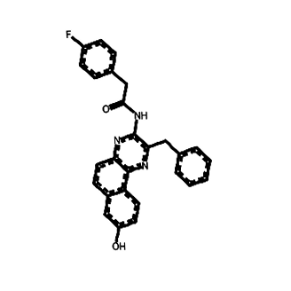 O=C(Cc1ccc(F)cc1)Nc1nc2ccc3cc(O)ccc3c2nc1Cc1ccccc1